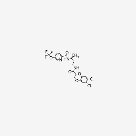 C=C(CCNC(=O)C1COc2cc(Cl)c(Cl)cc2O1)NC(=O)c1ccc(OC(F)(F)F)cn1